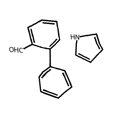 O=Cc1ccccc1-c1ccccc1.c1cc[nH]c1